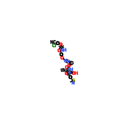 Cc1ncsc1-c1ccc([C@H](C)[N+]2(C(=O)[C@@H](NC(=O)CO[C@@H]3CCCC[C@H]3N3CCN(CCOc4ccc(C(=O)N[C@H]5C(C)(C)[C@H](Oc6ccc(C#N)c(Cl)c6)C5(C)C)cc4)CC3)C(C)(C)C)CC[C@@H](O)C2)cc1